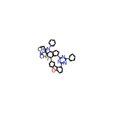 C=Nc1c(/C=C\C)n(-c2ccccc2)c2ccc(-c3ccc4oc5cccc(-c6nc(-c7ccccc7)nc(-c7ccccc7)n6)c5c4c3)cc12